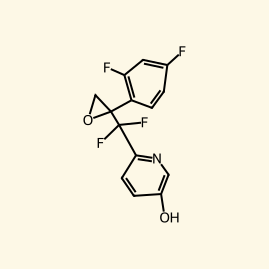 Oc1ccc(C(F)(F)C2(c3ccc(F)cc3F)CO2)nc1